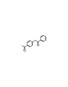 CC(=O)c1ccc(CC(=O)c2ccccc2)cc1